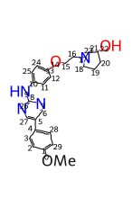 COc1ccc(-c2cnc(Nc3ccc(OCCN4CCCC(O)C4)cc3)nc2)cc1